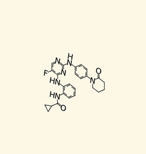 O=C(Nc1ccccc1Nc1nc(Nc2ccc(N3CCCCC3=O)cc2)ncc1F)C1CC1